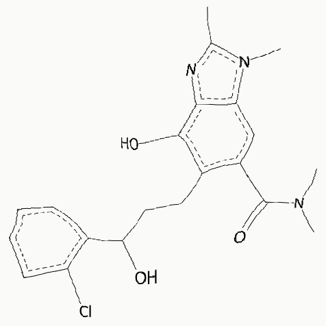 Cc1nc2c(O)c(CCC(O)c3ccccc3Cl)c(C(=O)N(C)C)cc2n1C